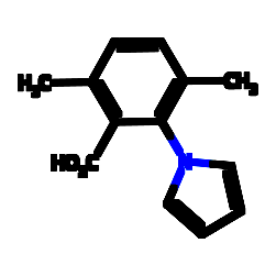 Cc1ccc(C)c(-n2cccc2)c1C(=O)O